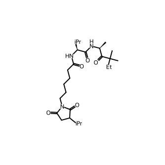 CCC(C)(C)C(=O)[C@H](C)NC(=O)[C@@H](NC(=O)CCCCCN1C(=O)CC(C(C)C)C1=O)C(C)C